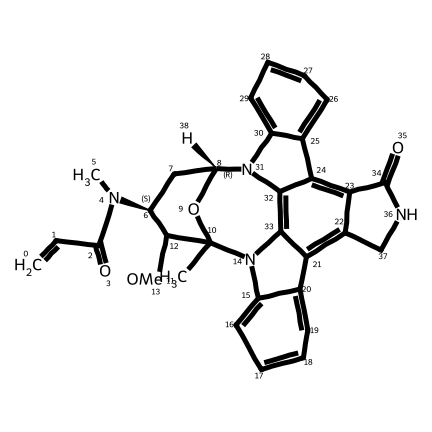 C=CC(=O)N(C)[C@H]1C[C@H]2OC(C)(C1OC)n1c3ccccc3c3c4c(c5c6ccccc6n2c5c31)C(=O)NC4